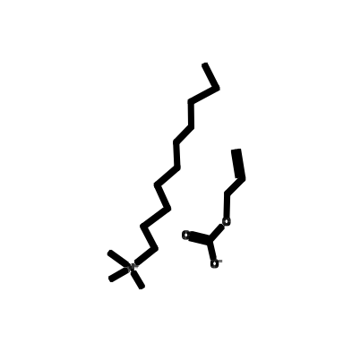 C=CCOC(=O)[O-].CCCCCCCCCC[N+](C)(C)C